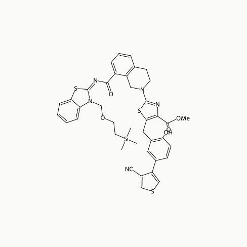 COC(=O)c1nc(N2CCc3cccc(C(=O)N=c4sc5ccccc5n4COCC[Si](C)(C)C)c3C2)sc1Cc1cc(-c2cscc2C#N)ccc1O